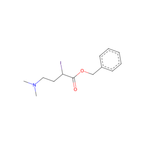 CN(C)CCC(I)C(=O)OCc1ccccc1